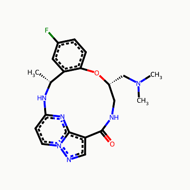 C[C@H]1Nc2ccn3ncc(c3n2)C(=O)NC[C@@H](CN(C)C)Oc2ccc(F)cc21